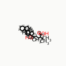 CC(C)C(CC[C@@H](C)[C@@]1(O)CC[C@H]2[C@@H]3CCC4CCCC[C@]4(C)[C@H]3CC[C@@]21C)C(=O)O